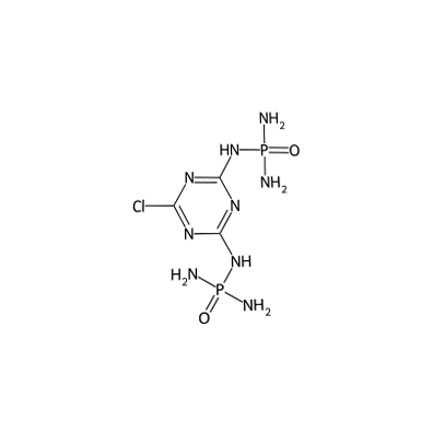 NP(N)(=O)Nc1nc(Cl)nc(NP(N)(N)=O)n1